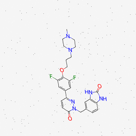 CN1CCN(CCCOc2c(F)cc(-c3ccc(=O)n(Cc4ccc5[nH]c(=O)[nH]c5c4)n3)cc2F)CC1